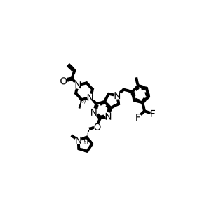 C=CC(=O)N1CCN(c2nc(OC[C@@H]3CCCN3C)nc3c2CN(Cc2cc(C(F)F)ccc2C)C3)[C@@H](C)C1